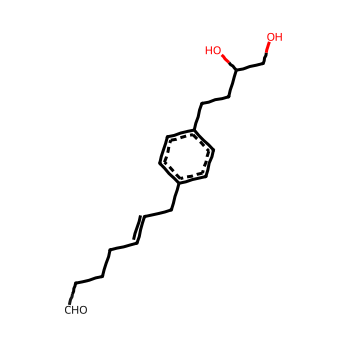 O=CCCCC=CCc1ccc(CCC(O)CO)cc1